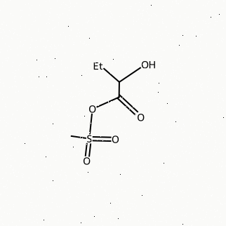 CCC(O)C(=O)OS(C)(=O)=O